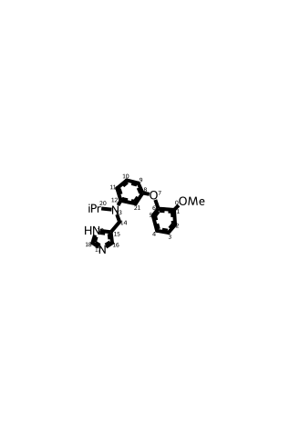 COc1ccccc1Oc1cccc(N(Cc2cnc[nH]2)C(C)C)c1